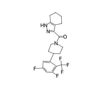 O=C(c1n[nH]c2c1CCCC2)N1CCC(c2cc(F)cc(F)c2C(F)(F)F)CC1